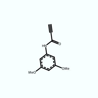 C#CC(=O)Nc1cc(OC)cc(OC)c1